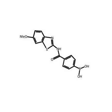 COc1ccc2nc(NC(=O)c3ccc(B(O)O)cc3)sc2c1